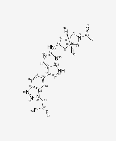 CC(=O)N1C[C@H]2CC(Nc3ncc4c(-c5ccc6nnn(CC(F)F)c6c5)c[nH]c4n3)C[C@H]2C1